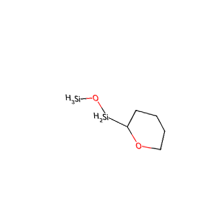 [SiH3]O[SiH2]C1CCCCO1